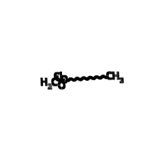 C=C(Cl)C(=O)OCCCCCCCCCCCCCC